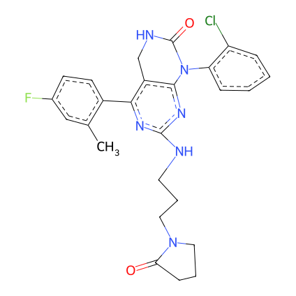 Cc1cc(F)ccc1-c1nc(NCCCN2CCCC2=O)nc2c1CNC(=O)N2c1ccccc1Cl